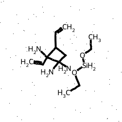 C=CC1CC(N)(N)C1(N)C=C.CCO[SiH2]OCC